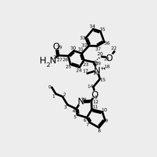 CCCCc1cc2ccccc2c(OCC[N+](C)(C)[C@@H](COC)c2ccc(C(N)=O)cc2-c2ccccc2)n1